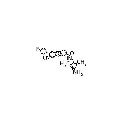 Cc1cc(N)nc(C)c1CNC(=O)c1ccc2c(c1)c1oc2c2cc(-c3ccc(F)cc3C#N)ccc21